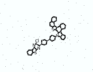 Clc1nc2c(nc1-c1ccc(-c3ccc(-n4c5ccccc5c5c6ccccc6c6c(sc7ccc8ccccc8c76)c54)cc3)cc1)sc1ccccc12